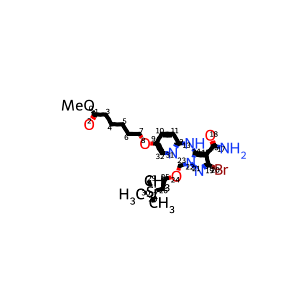 COC(=O)CCCCCOc1ccc(Nc2c(C(N)=O)c(Br)nn2COCC[Si](C)(C)C)nc1